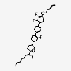 C=CCCCOc1ccc(-c2ccc(-c3ccc(C4CCC(C(O)CCCCCC)OC4)cc3F)cc2)c(F)c1F